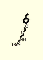 C=Cc1ccc(OCCOCCNCOC(C)(C)C)cc1